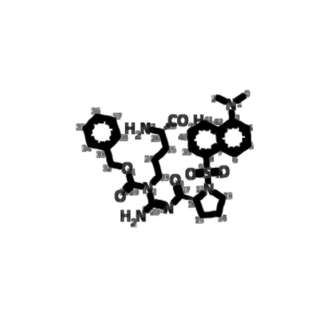 CN(C)c1cccc2c(S(=O)(=O)N3CCC[C@H]3C(=O)N=C(N)N(CCC[C@H](N)C(=O)O)C(=O)OCc3ccccc3)cccc12